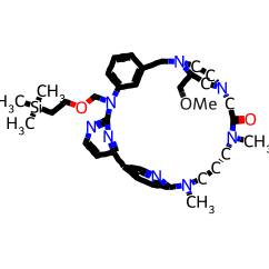 COCC1CN2CCN1Cc1cccc(c1)N(COCC[Si](C)(C)C)c1nccc(n1)-c1ccc(nc1)N(C)CCCN(C)C(=O)C2